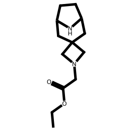 CCOC(=O)CN1CC2(CC3CCC(C2)N3)C1